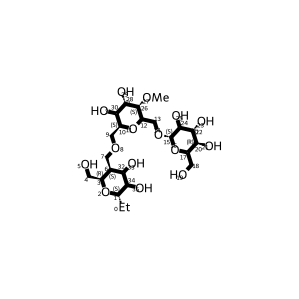 CC[C@@H]1O[C@@H](CO)[C@@H](COC[C@@H]2OC(CO[C@H]3OC(CO)[C@H](O)[C@@H](O)C3O)[C@@H](OC)[C@@H](O)C2O)C(O)C1O